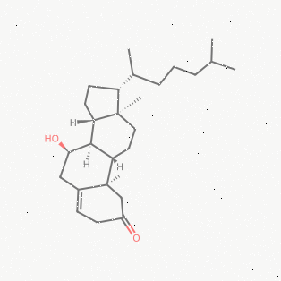 CC(C)CCCC(C)[C@H]1CC[C@H]2[C@@H]3[C@H](O)CC4=CCC(=O)C[C@]4(C)[C@H]3CC[C@]12C